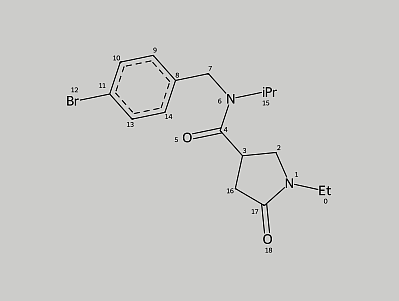 CCN1CC(C(=O)N(Cc2ccc(Br)cc2)C(C)C)CC1=O